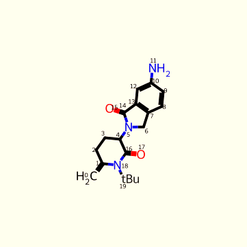 C=C1CCC(N2Cc3ccc(N)cc3C2=O)C(=O)N1C(C)(C)C